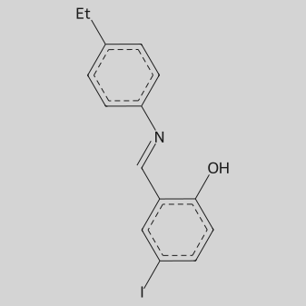 CCc1ccc(/N=C/c2cc(I)ccc2O)cc1